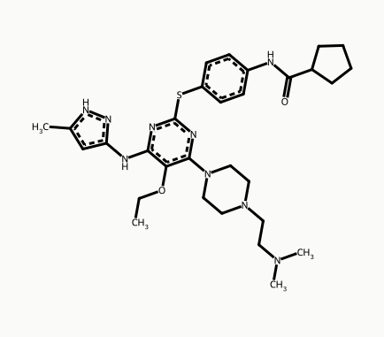 CCOc1c(Nc2cc(C)[nH]n2)nc(Sc2ccc(NC(=O)C3CCCC3)cc2)nc1N1CCN(CCN(C)C)CC1